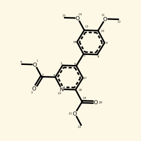 COC(=O)c1cc(-c2ccc(OC)c(OC)c2)cc(C(=O)OC)n1